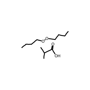 CC(C)C(=O)O.CCCCOOCCCC